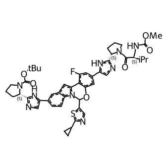 COC(=O)N[C@H](C(=O)N1CCC[C@H]1c1ncc(-c2cc(F)c3c(c2)OC(c2cnc(C4CC4)s2)n2c-3cc3cc(-c4cnc([C@@H]5CCCN5C(=O)OC(C)(C)C)[nH]4)ccc32)[nH]1)C(C)C